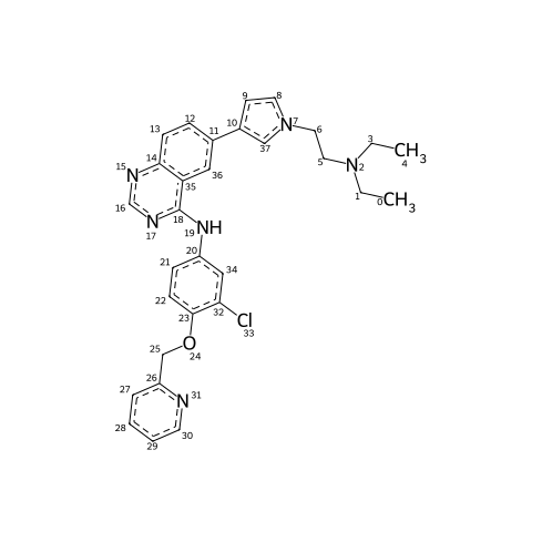 CCN(CC)CCn1ccc(-c2ccc3ncnc(Nc4ccc(OCc5ccccn5)c(Cl)c4)c3c2)c1